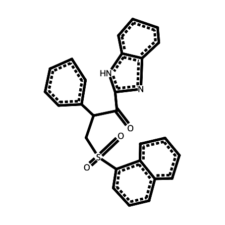 O=C(c1nc2ccccc2[nH]1)C(CS(=O)(=O)c1cccc2ccccc12)c1ccccc1